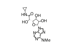 CNc1ncnc2c1ncn2[C@@H]1O[C@H](C(O)C(=O)NC2CC2)[C@@H](O)[C@H]1O